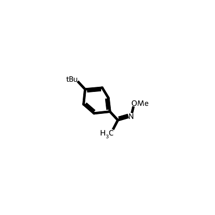 CO/N=C(/C)c1ccc(C(C)(C)C)cc1